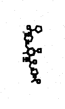 CC(=O)N1CC[C@@H](CC(=O)Nc2cc(Cl)cc(CN3CCN(C(=O)C4CCCC4)[C@@H](C)C3)c2C)C1